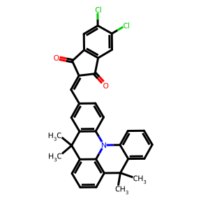 CC1(C)c2ccccc2N2c3ccc(C=C4C(=O)c5cc(Cl)c(Cl)cc5C4=O)cc3C(C)(C)c3cccc1c32